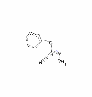 N#C/[PH](=N\P)Oc1ccccc1